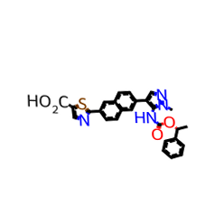 CC(OC(=O)Nc1c(-c2ccc3cc(-c4ncc(C(=O)O)s4)ccc3c2)cnn1C)c1ccccc1